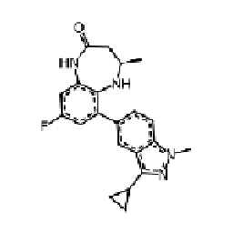 C[C@@H]1CC(=O)Nc2cc(F)cc(-c3ccc4c(c3)c(C3CC3)nn4C)c2N1